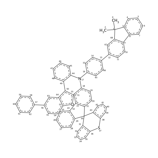 CC1(C)c2ccccc2-c2ccc(-c3ccc(N(c4ccc5c(c4)-c4ccccc4C54c5ccccc5Sc5ccccc54)c4ccccc4-c4coc5ccc(-c6ccccc6)cc45)cc3)cc21